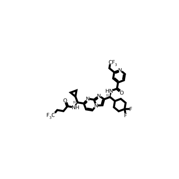 O=C(CCC(F)(F)F)N[C@H](c1ccn2cc([C@@H](NC(=O)c3ccnc(CC(F)(F)F)c3)C3CCC(F)(F)CC3)nc2n1)C1CC1